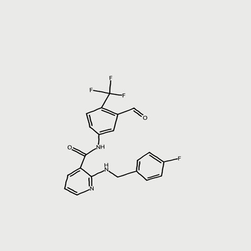 O=Cc1cc(NC(=O)c2cccnc2NCc2ccc(F)cc2)ccc1C(F)(F)F